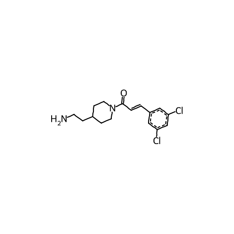 NCCC1CCN(C(=O)C=Cc2cc(Cl)cc(Cl)c2)CC1